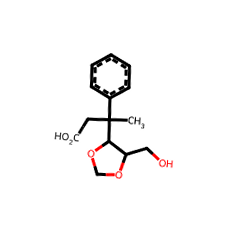 CC(CC(=O)O)(c1ccccc1)C1OCOC1CO